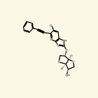 O[C@@H]1CO[C@H]2[C@@H]1OC[C@H]2Oc1nc2nc(C#Cc3ccccc3)c(Cl)cc2[nH]1